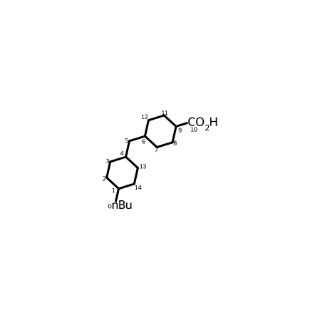 CCCCC1CCC(CC2CCC(C(=O)O)CC2)CC1